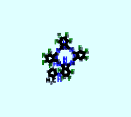 Cc1ccccc1NC1(F)C(F)=C(F)C(F)=c2c1c1[nH]/c2=N\C2=NC(=N\c3[nH]c(c4c(F)c(F)c(F)c(F)c34)/N=C3\N=C(N1)c1c(F)c(F)c(F)c(F)c13)/c1c2cc(F)c(F)c1F